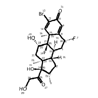 C[C@H]1C[C@H]2[C@@H]3C[C@@H](F)C4=CC(=O)C(Br)=C[C@]4(C)[C@@]3(F)[C@@H](O)C[C@]2(C)[C@@]1(O)C(=O)CO